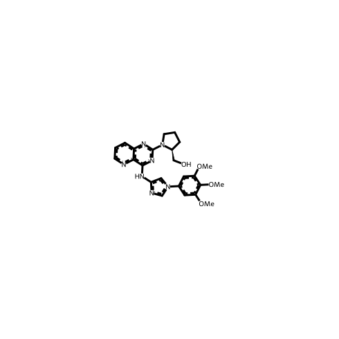 COc1cc(-n2cnc(Nc3nc(N4CCC[C@H]4CO)nc4cccnc34)c2)cc(OC)c1OC